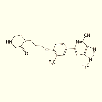 Cn1cnc2c(C#N)nc(-c3ccc(OCCCN4CCNCC4=O)c(C(F)(F)F)c3)cc21